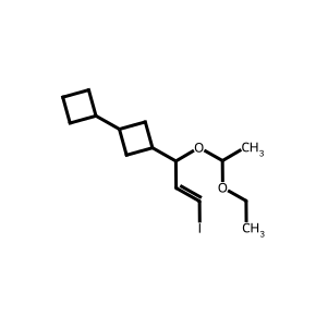 CCOC(C)OC(C=CI)C1CC(C2CCC2)C1